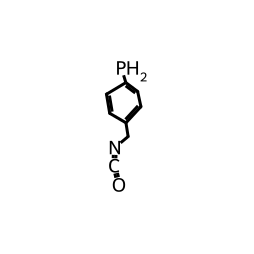 O=C=NCc1ccc(P)cc1